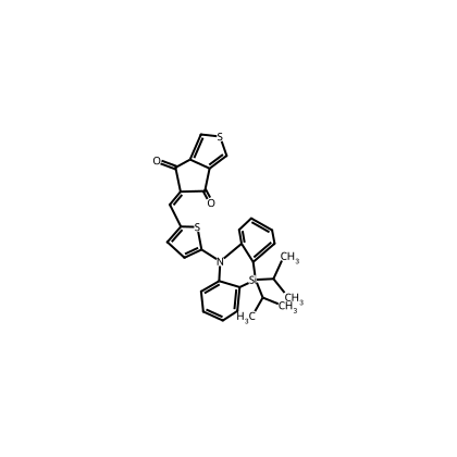 CC(C)[Si]1(C(C)C)c2ccccc2N(c2ccc(C=C3C(=O)c4cscc4C3=O)s2)c2ccccc21